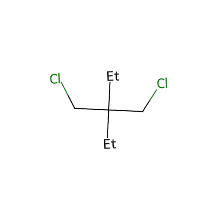 CCC(CC)(CCl)CCl